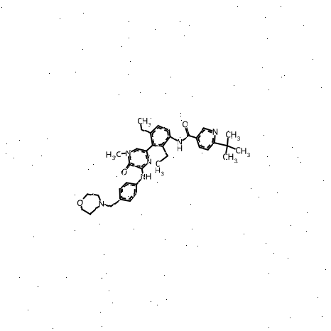 CCc1ccc(NC(=O)c2ccc(C(C)(C)C)nc2)c(CC)c1-c1cn(C)c(=O)c(Nc2ccc(CN3CCOCC3)cc2)n1